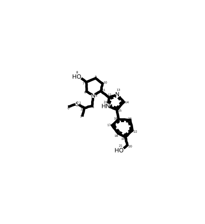 CSC(C)CN1CC(O)CCC1c1ncc(-c2ccc(CO)cc2)[nH]1